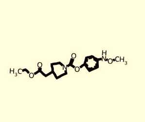 CCOC(=O)CC1CCN(C(=O)Oc2ccc(NOC)cc2)CC1